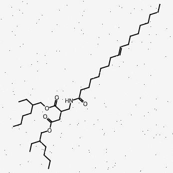 CCCCCCCCC=CCCCCCCCC(=O)NCC(CC(=O)OCC(CC)CCCC)C(=O)OCC(CC)CCCC